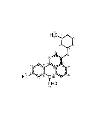 CN1CCCC(Cc2nnc(-c3ccc(C(F)(F)F)cc3OC=O)c3ccccc23)C1